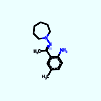 C/C(=N\N1CCCCCC1)c1cc(C)ccc1N